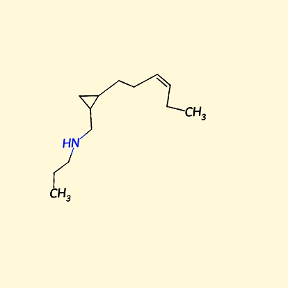 CC/C=C\CCC1CC1CNCCC